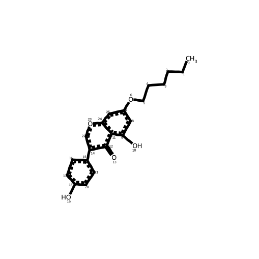 CCCCCCOc1cc(O)c2c(=O)c(-c3ccc(O)cc3)coc2c1